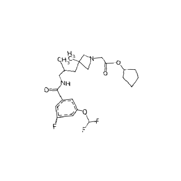 CC(CNC(=O)c1cc(F)cc(OC(F)F)c1)CC1(C)CN(CC(=O)OC2CCCC2)C1